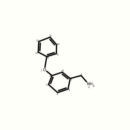 NCc1[c]ccc(Oc2ccccc2)c1